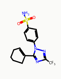 NS(=O)(=O)c1ccc(-n2nc(C(F)(F)F)nc2C2=CCCCC2)cc1